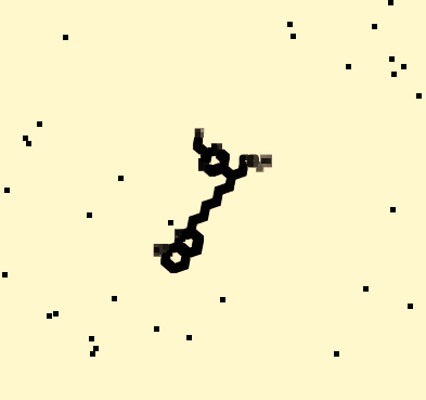 O=C(O)CC(CCCCCCc1ccc2c(n1)NCCC2)c1cnc(CF)nc1